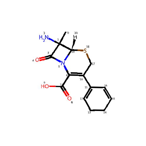 CC1(N)C(=O)N2C(C(=O)O)=C(C3=CCCC=C3)CS[C@H]21